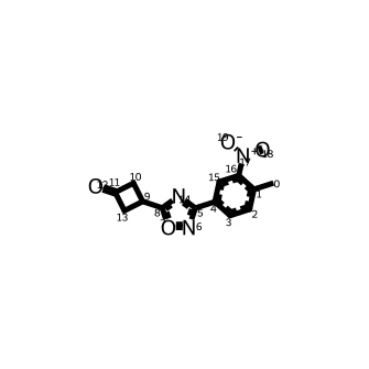 Cc1ccc(-c2noc(C3CC(=O)C3)n2)cc1[N+](=O)[O-]